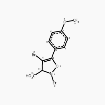 CCN1OC(c2ccc(OC(F)(F)F)cc2)=C(Br)C1C(=O)O